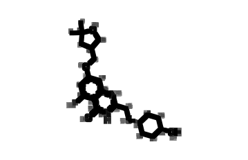 CC1(C)CC(COc2cc(F)c3c(=O)[nH]c(CS[C@H]4CC[C@H](O)CC4)nc3c2)CO1